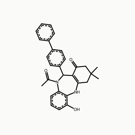 CC(=O)N1c2cccc(O)c2NC2=C(C(=O)CC(C)(C)C2)C1c1ccc(-c2ccccc2)cc1